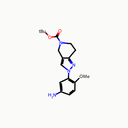 COc1ccc(N)cc1-n1cc2c(n1)CCN(C(=O)OC(C)(C)C)C2